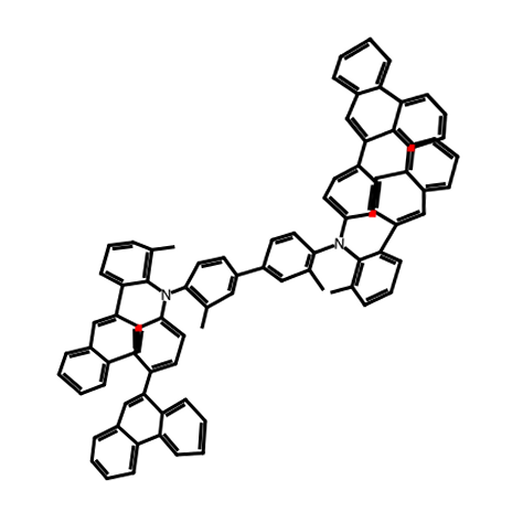 Cc1cc(-c2ccc(N(c3ccc(-c4cc5ccccc5c5ccccc45)cc3)c3c(C)cccc3-c3ccc4ccccc4c3)c(C)c2)ccc1N(c1ccc(-c2cc3ccccc3c3ccccc23)cc1)c1c(C)cccc1-c1ccc2ccccc2c1